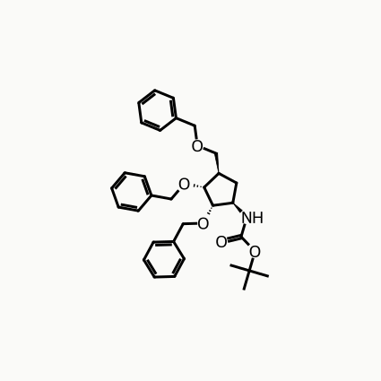 CC(C)(C)OC(=O)N[C@@H]1C[C@H](COCc2ccccc2)[C@@H](OCc2ccccc2)[C@H]1OCc1ccccc1